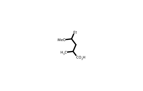 CCC(CC(C)C(=O)O)OC